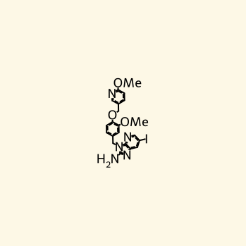 COc1ccc(COc2ccc(Cn3c(N)nc4cc(I)cnc43)cc2OC)cn1